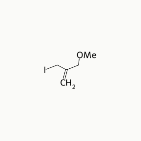 C=C(CI)COC